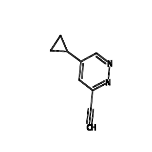 C#Cc1cc(C2CC2)cnn1